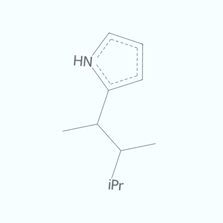 CC(C)C(C)C(C)c1ccc[nH]1